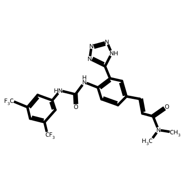 CN(C)C(=O)C=Cc1ccc(NC(=O)Nc2cc(C(F)(F)F)cc(C(F)(F)F)c2)c(-c2nnn[nH]2)c1